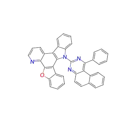 c1ccc(-c2nc(-n3c4ccccc4c4c5cccnc5c5oc6ccccc6c5c43)nc3ccc4ccccc4c23)cc1